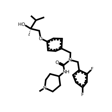 CC(C)[C@](C)(O)COc1ccc(CN(Cc2ccc(F)cc2F)C(=O)NC2CCN(C)CC2)cc1